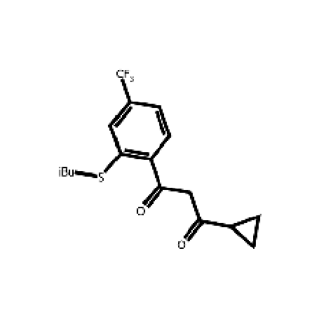 CCC(C)Sc1cc(C(F)(F)F)ccc1C(=O)CC(=O)C1CC1